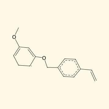 C=Cc1ccc(COC2=CC(OC)=CC[CH]2)cc1